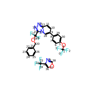 FC(F)(F)Oc1ccc(-c2ccc3nnc(C(F)(F)OCc4ccccc4)n3c2)cc1.FC(F)(F)c1cocn1